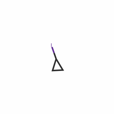 I[C]1CC1